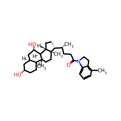 Cc1cccc2c1CCN2C(=O)CC[C@@H](C)[C@H]1CC[C@H]2[C@@H]3[C@H](O)C[C@@H]4C[C@H](O)CC[C@]4(C)[C@H]3CC[C@]12C